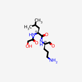 CC(C)C[C@H](NC(=O)CO)C(=O)N[C@@H](C=O)CCCN